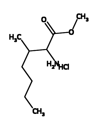 CCCCC(C)C(N)C(=O)OC.Cl